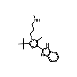 CNCCCn1c(C(C)(C)C)cc(-c2nc3ccccc3[nH]2)c1C